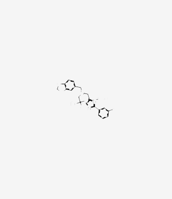 CCCCn1c(CN(Cc2ccc3c(c2)OCO3)CC(C)(C)CC)cnc1-c1cccc(F)c1